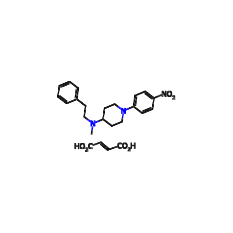 CN(CCc1ccccc1)C1CCN(c2ccc([N+](=O)[O-])cc2)CC1.O=C(O)C=CC(=O)O